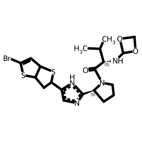 CC(C)[C@H](NC1OCO1)C(=O)N1CCC[C@H]1c1ncc(C2CC3SC(Br)=CC3S2)[nH]1